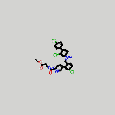 CCOC(=O)CCNC(=O)c1ccc(-c2cc(Cl)ccc2CNc2ccc(-c3ccc(Cl)cc3)c(Cl)c2)cn1